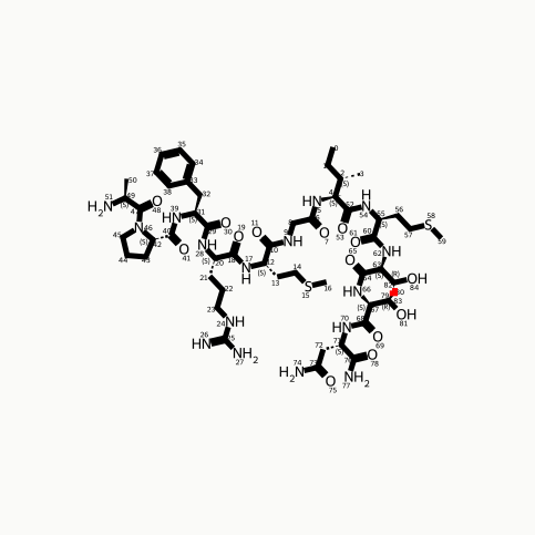 CC[C@H](C)[C@H](NC(=O)CNC(=O)[C@H](CCSC)NC(=O)[C@H](CCCNC(=N)N)NC(=O)[C@H](Cc1ccccc1)NC(=O)[C@@H]1CCCN1C(=O)[C@H](C)N)C(=O)N[C@@H](CCSC)C(=O)N[C@H](C(=O)N[C@H](C(=O)N[C@@H](CC(N)=O)C(N)=O)[C@@H](C)O)[C@@H](C)O